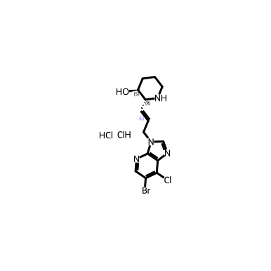 Cl.Cl.O[C@H]1CCCN[C@@H]1/C=C/Cn1cnc2c(Cl)c(Br)cnc21